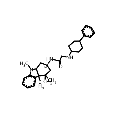 CN1c2ccccc2C2(C)C1C[C@@H](NC(=O)CNC1CCC(c3ccccc3)CC1)CC2(C)C